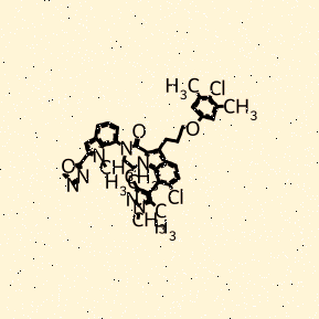 Cc1cc(OCCCc2c3n(c4c(-c5c(C)nn(C)c5C)c(Cl)ccc24)[C@H](C)CN(c2cccc4cc(-c5nnco5)n(C)c24)C3=O)cc(C)c1Cl